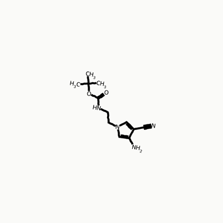 CC(C)(C)OC(=O)NCCn1cc(N)c(C#N)c1